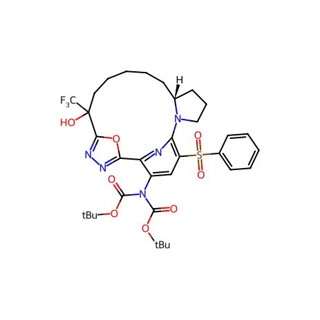 CC(C)(C)OC(=O)N(C(=O)OC(C)(C)C)c1cc(S(=O)(=O)c2ccccc2)c2nc1-c1nnc(o1)C(O)(C(F)(F)F)CCCCC[C@@H]1CCCN21